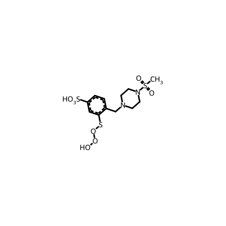 CS(=O)(=O)N1CCN(Cc2ccc(S(=O)(=O)O)cc2SOOO)CC1